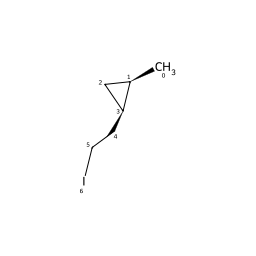 C[C@@H]1C[C@@H]1CCI